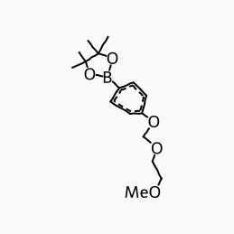 COCCOCOc1ccc(B2OC(C)(C)C(C)(C)O2)cc1